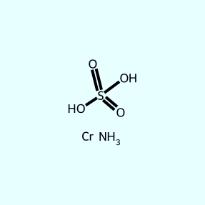 N.O=S(=O)(O)O.[Cr]